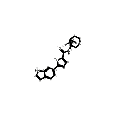 O=C(N[C@H]1CN2CCC1CC2)c1ccc(-c2ccc3cc[nH]c3c2)o1